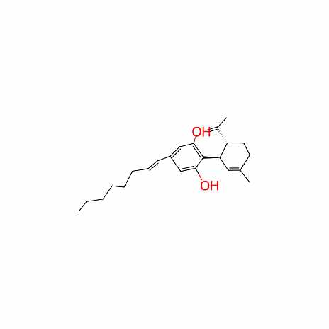 C=C(C)[C@@H]1CCC(C)=C[C@H]1c1c(O)cc(/C=C/CCCCCC)cc1O